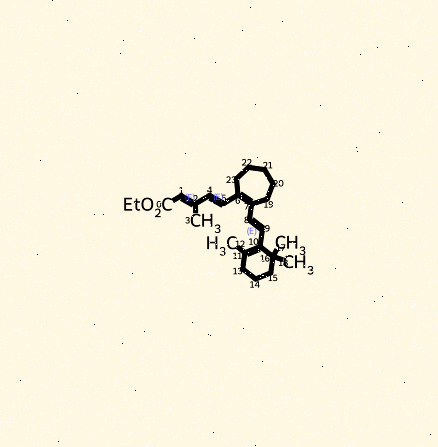 CCOC(=O)/C=C(C)/C=C/C1=C(/C=C/C2=C(C)CCCC2(C)C)CCCCC1